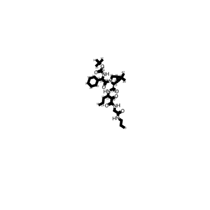 CCCNC(=O)CNC(=O)C(=O)C(CCC)NC(=O)[C@@H]1C2C(CN1C(=O)C(NC(=O)OC(C)(C)C)C1CCCCC1)C2(C)C